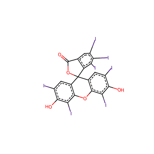 O=C1OC2(c3cc(I)c(O)c(I)c3Oc3c2cc(I)c(O)c3I)c2c1cc(I)c(I)c2I